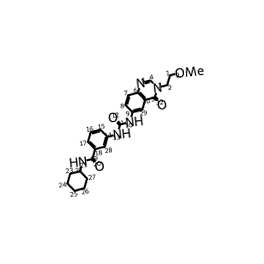 COCCn1cnc2ccc(NC(=O)Nc3cccc(C(=O)NC4CCCCC4)c3)cc2c1=O